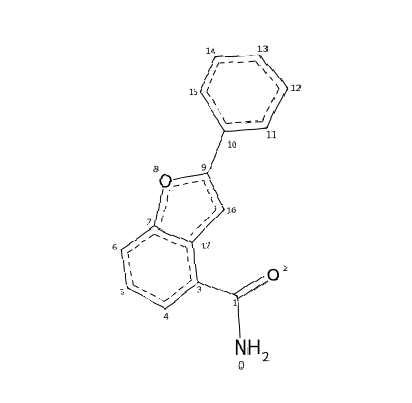 NC(=O)c1cccc2oc(-c3ccccc3)cc12